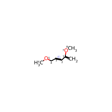 C=C(/C=C/COC)OC